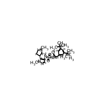 CN1CCC[C@H]1CN(c1cnn(C)c1)S(=O)(=O)NC(=O)Cc1cc(C(C)(C)C)cc(C(C)(C)C)c1